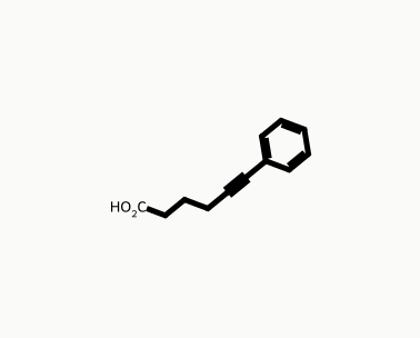 O=C(O)CCCC#Cc1ccccc1